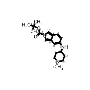 CN1CCC(Nc2ccc3cn(C(=O)OC(C)(C)C)cc3c2)CC1